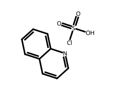 O=S(=O)(O)Cl.c1ccc2ncccc2c1